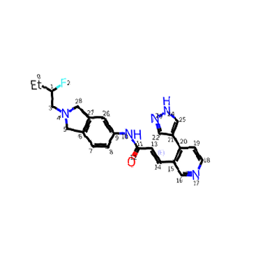 CCC(F)CN1Cc2ccc(NC(=O)/C=C/c3cnccc3-c3cn[nH]c3)cc2C1